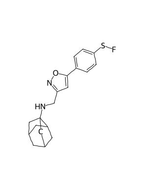 FSc1ccc(-c2cc(CNC34CC5CC(CC3C5)C4)no2)cc1